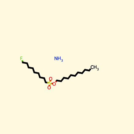 CCCCCCCCCCCOS(=O)(=O)CCCCCCCCCF.N